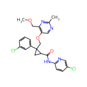 COCc1nc(C)ncc1OCC1(c2cccc(Cl)c2)CC1C(=O)Nc1ccc(Cl)cn1